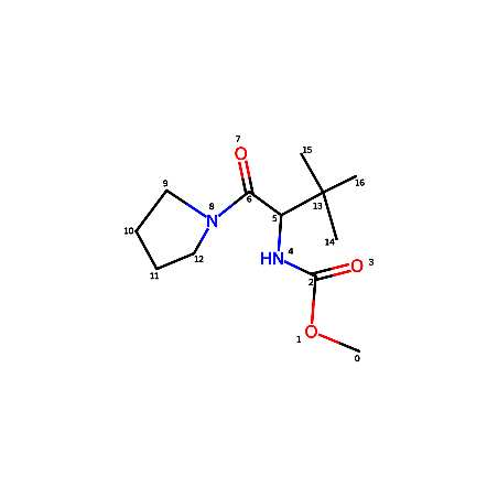 COC(=O)NC(C(=O)N1CCCC1)C(C)(C)C